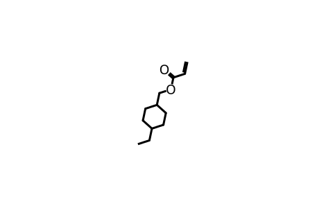 C=CC(=O)OCC1CCC(CC)CC1